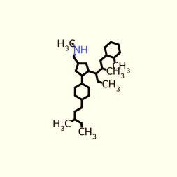 CCC(C)CCC1CCC(C2CC(CNC)CC2C(CC)C(C)CC2CCCCC2C)CC1